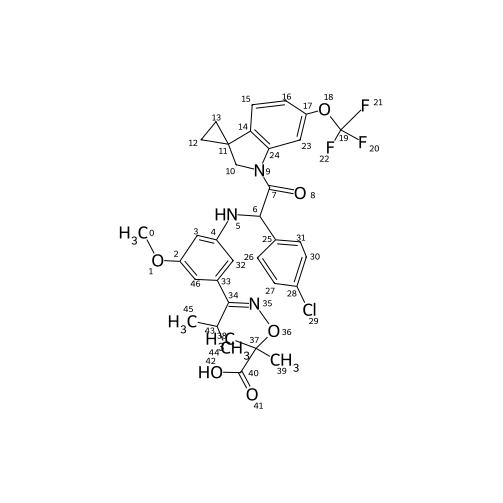 COc1cc(NC(C(=O)N2CC3(CC3)c3ccc(OC(F)(F)F)cc32)c2ccc(Cl)cc2)cc(C(=NOC(C)(C)C(=O)O)C(C)C)c1